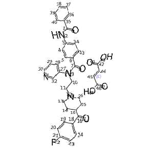 O=C(Nc1ccc(C(=O)N(CCN2CCC(C(=O)c3ccc(F)cc3)CC2)c2cccnc2)cc1)c1ccccc1.O=C(O)/C=C/C(=O)O